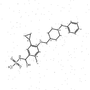 CS(=O)(=O)NC(O)c1cc(C2CC2)c(OCC2CCN(Cc3ccccc3)CC2)cc1F